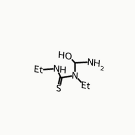 CCNC(=S)N(CC)C(N)O